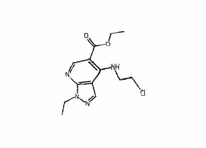 CCOC(=O)c1cnc2c(cnn2CC)c1NCCCl